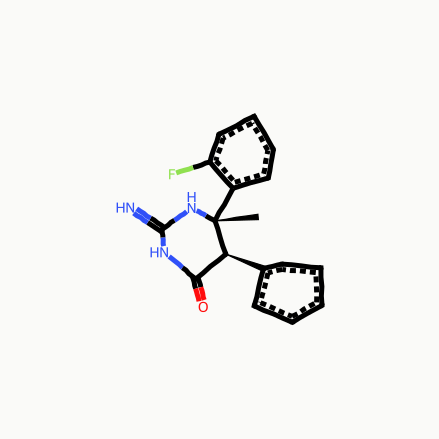 C[C@]1(c2ccccc2F)NC(=N)NC(=O)[C@@H]1c1ccccc1